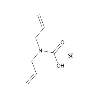 C=CCN(CC=C)C(=O)O.[Si]